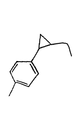 CCC1CC1c1ccc(C)cc1